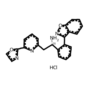 Cl.N[C@@H](Cc1cccc(-c2ncco2)n1)c1ccccc1-c1noc2ccccc12